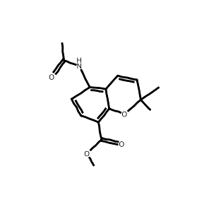 COC(=O)c1ccc(NC(C)=O)c2c1OC(C)(C)C=C2